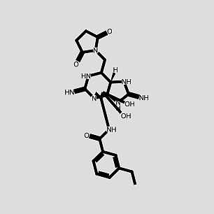 CCc1cccc(C(=O)NC2CN3C(=N)NC(CN4C(=O)CCC4=O)[C@@H]4NC(=N)N[C@@]43C2(O)O)c1